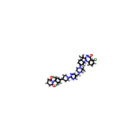 CC1(C)c2ccc(N3CCN(Cc4cnc(N5CCC(c6cc(F)c(N7C(=O)CCCC7=O)c(F)c6)CC5)nc4)CC3(C)C)cc2-n2c1nc(=O)c1c(Cl)cccc12